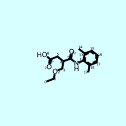 CCOCC(CC(=O)O)C(=O)Nc1c(C)cccc1C